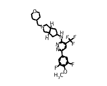 COc1c(F)cc(-c2cc(C(F)(F)F)c(NC3C[C@@H]4CN(CC5CCOCC5)C[C@@H]4C3)nn2)cc1F